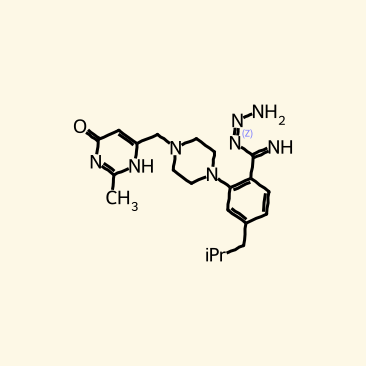 Cc1nc(=O)cc(CN2CCN(c3cc(CC(C)C)ccc3C(=N)/N=N\N)CC2)[nH]1